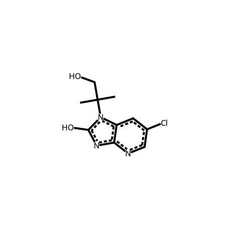 CC(C)(CO)n1c(O)nc2ncc(Cl)cc21